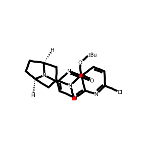 CN(C(=O)OC(C)(C)C)C1C[C@H]2CC[C@@H](C1)N2c1cnc2nc(Cl)ccc2n1